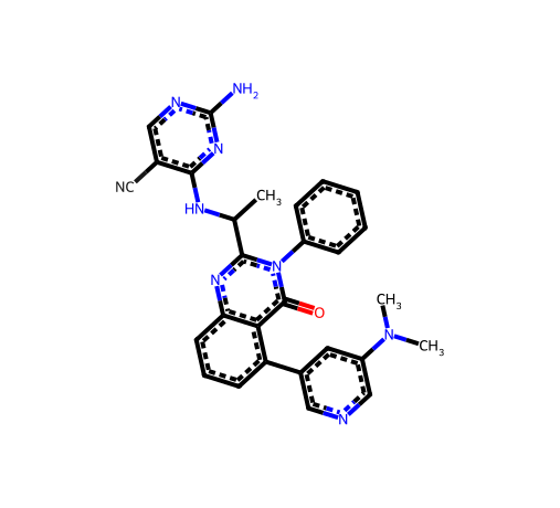 CC(Nc1nc(N)ncc1C#N)c1nc2cccc(-c3cncc(N(C)C)c3)c2c(=O)n1-c1ccccc1